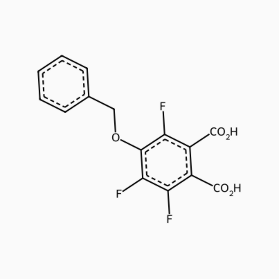 O=C(O)c1c(F)c(F)c(OCc2ccccc2)c(F)c1C(=O)O